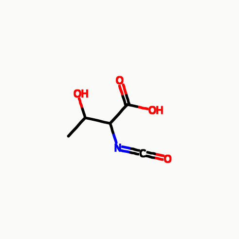 CC(O)C(N=C=O)C(=O)O